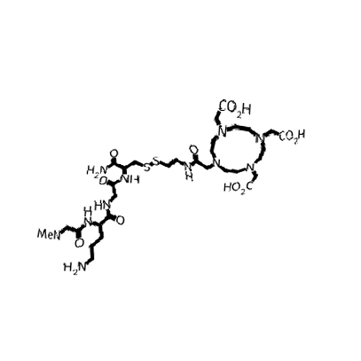 CNCC(=O)NC(CCCN)C(=O)NCC(=O)NC(CSSCCNC(=O)CN1CCN(CC(=O)O)CCN(CC(=O)O)CCN(CC(=O)O)CC1)C(N)=O